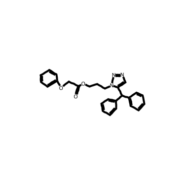 O=C(COc1ccccc1)OCCCn1nncc1C(c1ccccc1)c1ccccc1